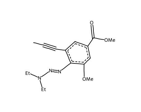 CC#Cc1cc(C(=O)OC)cc(OC)c1N=NN(CC)CC